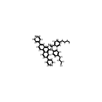 CCCCc1ccc(-c2nc3c4cc(-c5ccncc5)ccc4c4ccc(-c5ccncc5)cc4c3n2-c2ccc(CCCC)cc2)cc1